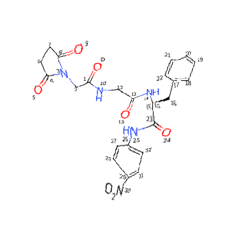 O=C(CN1C(=O)CCC1=O)NCC(=O)N[C@@H](Cc1ccccc1)C(=O)Nc1ccc([N+](=O)[O-])cc1